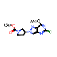 COc1nc(Cl)nc2cn([C@H]3CCN(C(=O)OC(C)(C)C)C3)nc12